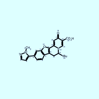 Cn1nccc1-c1ccc2c3c(oc2c1)-c1cc(=O)c(C(=O)O)cn1C(C(C)(C)C)C3